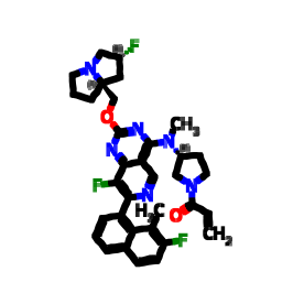 C=CC(=O)N1CC[C@@H](N(C)c2nc(OC[C@@]34CCCN3C[C@H](F)C4)nc3c(F)c(-c4cccc5ccc(F)c(C)c45)ncc23)C1